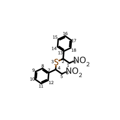 O=[N+]([O-])CC(SC(C[N+](=O)[O-])c1ccccc1)c1ccccc1